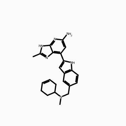 Cc1nc2c(-c3cc4cc(CN(C)C5CC=CCC5)ccc4[nH]3)cc(N)nc2[nH]1